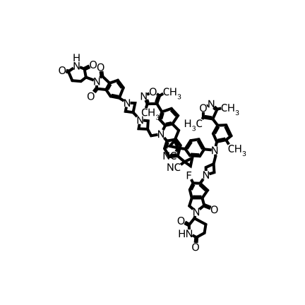 Cc1ccc(-c2c(C)noc2C)cc1N(CC1CN(c2cc3c(cc2F)CN(C2CCC(=O)NC2=O)C3=O)C1)c1ccc(C2(C#N)CC2Cc2ccc(-c3c(C)noc3C)cc2N(CC2CN(C3CN(c4ccc5c(c4)C(=O)N(C4CCC(=O)NC4=O)C5=O)C3)C2)c2ccc(C3(C#N)CC3)cc2)cc1